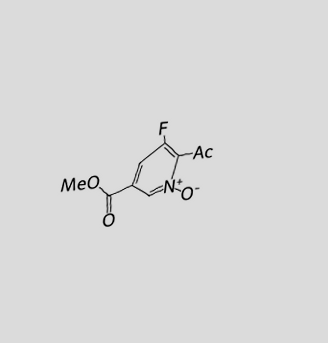 COC(=O)c1cc(F)c(C(C)=O)[n+]([O-])c1